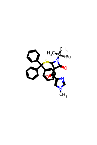 Cn1cnc(C(=O)C2C(=O)N([Si](C)(C)C(C)(C)C)C2SC(c2ccccc2)(c2ccccc2)c2ccccc2)c1